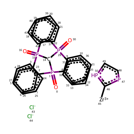 O=P(c1ccccc1)(c1ccccc1)[C-](P(=O)(c1ccccc1)c1ccccc1)P(=O)(c1ccccc1)c1ccccc1.[Cl-].[Cl-].[Zr+3][c]1pcc[pH]1